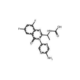 CC(NC(=O)O)c1nc2c(F)cc(F)cc2c(=O)n1-c1cnc(N)cn1